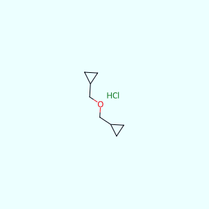 C1CC1COCC1CC1.Cl